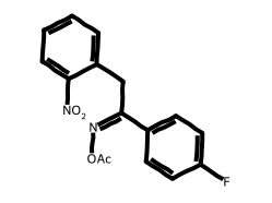 CC(=O)ON=C(Cc1ccccc1[N+](=O)[O-])c1ccc(F)cc1